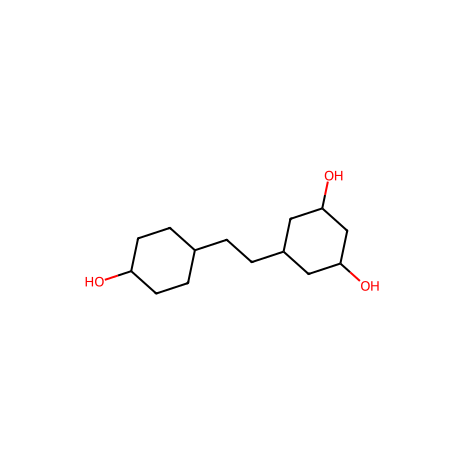 OC1CCC(CCC2CC(O)CC(O)C2)CC1